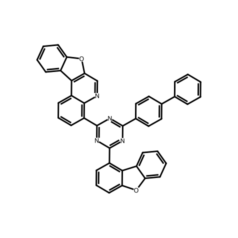 c1ccc(-c2ccc(-c3nc(-c4cccc5c4ncc4oc6ccccc6c45)nc(-c4cccc5oc6ccccc6c45)n3)cc2)cc1